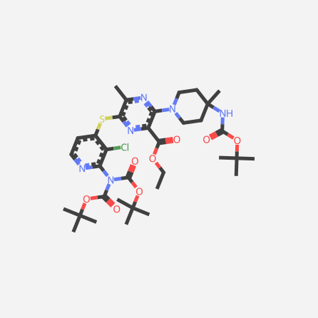 CCOC(=O)c1nc(Sc2ccnc(N(C(=O)OC(C)(C)C)C(=O)OC(C)(C)C)c2Cl)c(C)nc1N1CCC(C)(NC(=O)OC(C)(C)C)CC1